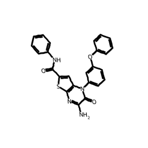 Nc1nc2sc(C(=O)Nc3ccccc3)cc2n(-c2cccc(Oc3ccccc3)c2)c1=O